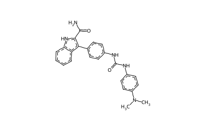 CN(C)c1ccc(NC(=O)Nc2ccc(-c3c(C(N)=O)[nH]c4ccccc34)cc2)cc1